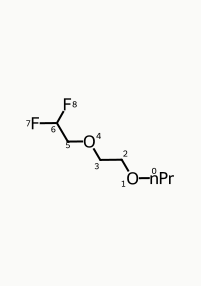 CCCOCCOCC(F)F